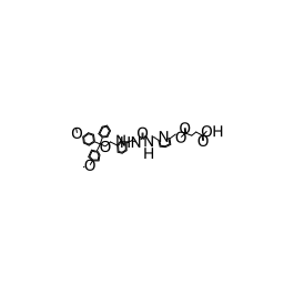 COc1ccc(C(OCc2cccc(CNC(=O)NCc3cccc(COC(=O)CCC(=O)O)n3)n2)(c2ccccc2)c2ccc(OC)cc2)cc1